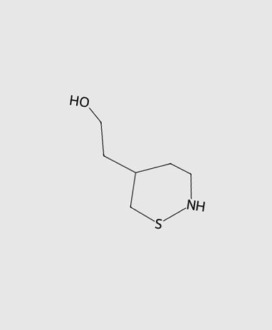 OCCC1CCNSC1